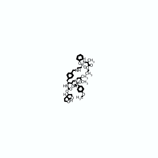 CCOC(=O)[C@H](C)NP(=O)(CCNCc1ccc(C[C@H](NC(=O)O[C@H]2CO[C@H]3OCC[C@H]32)[C@H](O)CN(CC(C)C)S(=O)(=O)c2ccc(OC)cc2)cc1)Oc1ccccc1